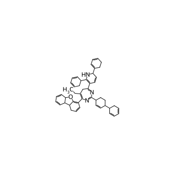 CCC1=C(C2=C3OC4C=CC=CC4C3CC=C2)N=C(C2C=CC(C3C=CC=CC3)CC2)N=C(C2=C(C3C=CC=CC3)NC(C3=CC=CCC3)C=C2)C1